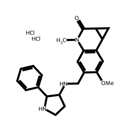 COc1cc2c(cc1CNC1CCNC1c1ccccc1)N(C)C(=O)C1CC21.Cl.Cl